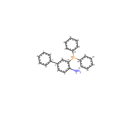 Nc1ccc(-c2ccccc2)cc1P(c1ccccc1)c1ccccc1